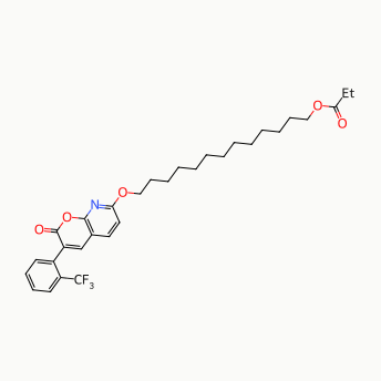 CCC(=O)OCCCCCCCCCCCCCOc1ccc2cc(-c3ccccc3C(F)(F)F)c(=O)oc2n1